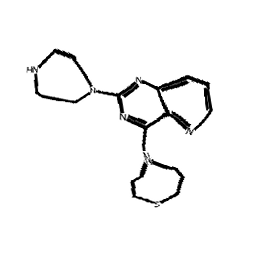 c1cnc2c(N3CCSCC3)nc(N3CCNCC3)nc2c1